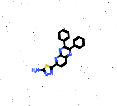 Nc1nnc(-c2ccc3nc(-c4cc[c]cc4)c(-c4ccccc4)nc3n2)s1